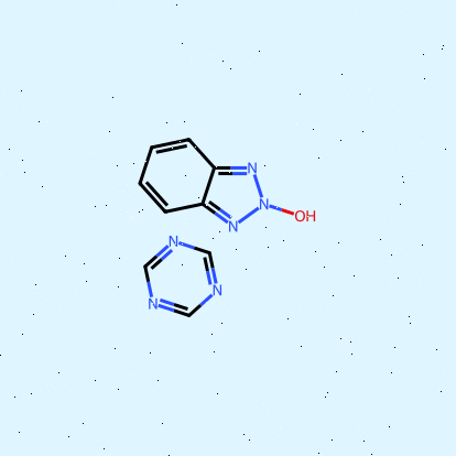 On1nc2ccccc2n1.c1ncncn1